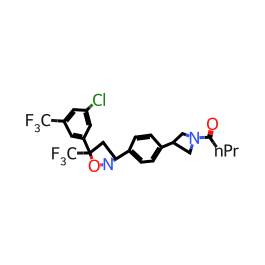 CCCC(=O)N1CC(c2ccc(C3=NOC(c4cc(Cl)cc(C(F)(F)F)c4)(C(F)(F)F)C3)cc2)C1